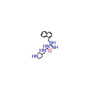 N=C(NCc1cccc2ccccc12)NC(=O)NCC1CCNCC1